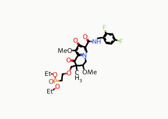 CCOP(=O)(CCOCC1(C)C(=O)c2c(OC)c(=O)c(C(=O)NCc3ccc(F)cc3F)cn2CC1OC)OCC